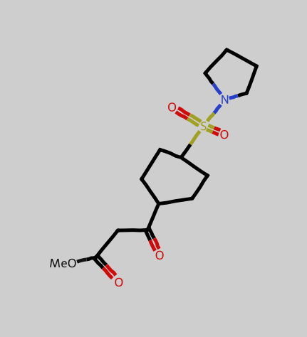 COC(=O)CC(=O)C1CCC(S(=O)(=O)N2CCCC2)CC1